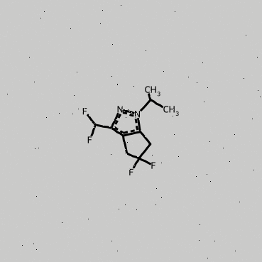 CC(C)n1nc(C(F)F)c2c1CC(F)(F)C2